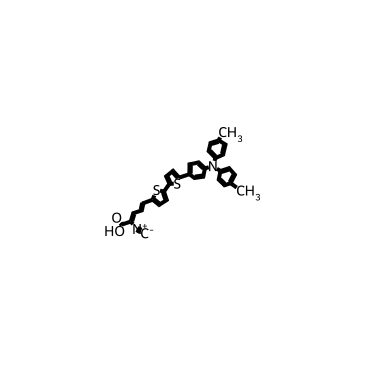 [C-]#[N+]/C(=C\C=C\c1ccc(-c2ccc(-c3ccc(N(c4ccc(C)cc4)c4ccc(C)cc4)cc3)s2)s1)C(=O)O